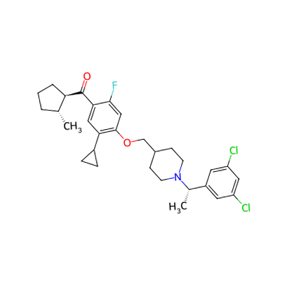 C[C@@H]1CCC[C@H]1C(=O)c1cc(C2CC2)c(OCC2CCN([C@@H](C)c3cc(Cl)cc(Cl)c3)CC2)cc1F